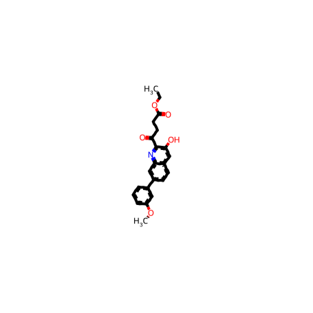 CCOC(=O)CCC(=O)c1nc2cc(-c3cccc(OC)c3)ccc2cc1O